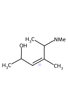 CNC(C)/C(C)=C\C(C)O